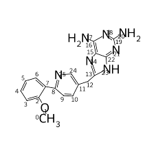 COc1ccccc1-c1ccc(Cc2nc3c(N)nc(N)nc3[nH]2)cn1